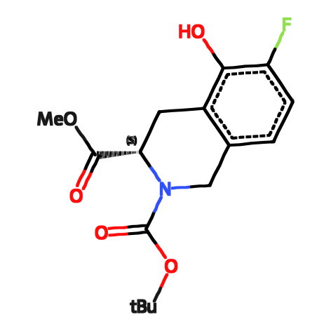 COC(=O)[C@@H]1Cc2c(ccc(F)c2O)CN1C(=O)OC(C)(C)C